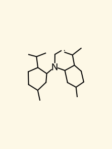 [CH2]CN(C1CC(C)CCC1C(C)C)C1CC(C)CCC1C(C)C